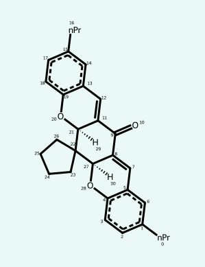 CCCc1ccc2c(c1)C=C1C(=O)C3=Cc4cc(CCC)ccc4O[C@@H]3C3(CCCC3)[C@@H]1O2